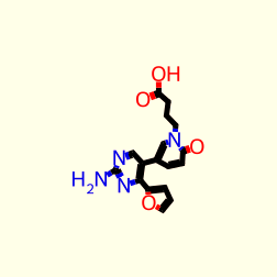 Nc1ncc(-c2ccc(=O)n(CCCC(=O)O)c2)c(-c2ccco2)n1